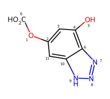 O=C(O)Oc1cc(O)c2nn[nH]c2c1